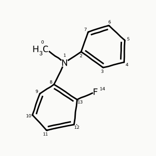 CN(c1ccccc1)c1ccc[c]c1F